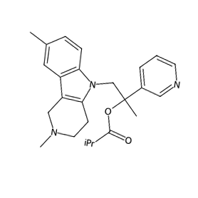 Cc1ccc2c(c1)c1c(n2CC(C)(OC(=O)C(C)C)c2cccnc2)CCN(C)C1